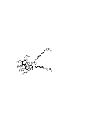 CCCCCCCCC(=O)OC(C(=O)CCCCCCCC)[C@@]1(O[C@H]2O[C@H](CO)[C@@H](O)[C@H](O)[C@H]2O)O[C@H](CO)[C@@H](O)[C@@H]1O